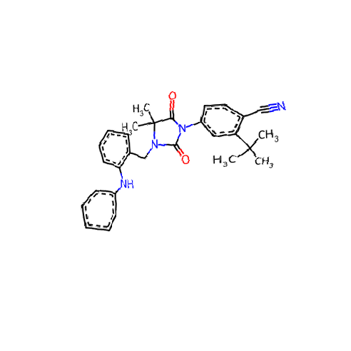 CC(C)(C)c1cc(N2C(=O)N(Cc3ccccc3Nc3ccccc3)C(C)(C)C2=O)ccc1C#N